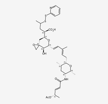 CC(=O)O[C@@H](C)C=CC(=O)N[C@@H]1C[C@H](C)[C@H](CC=C(C)C=C[C@H]2O[C@H]([C@@H](CC(C)SSc3ccccn3)C(=O)O)C[C@@]3(CO3)[C@@H]2O)O[C@@H]1C